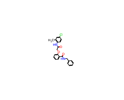 Cc1cc(Cl)ccc1NC(=O)COc1ccccc1C(=O)NCc1ccccc1